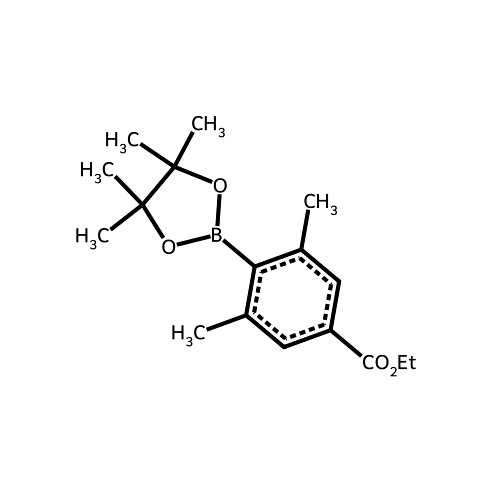 CCOC(=O)c1cc(C)c(B2OC(C)(C)C(C)(C)O2)c(C)c1